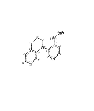 CCCNc1ccncc1N1CCCc2ccccc21